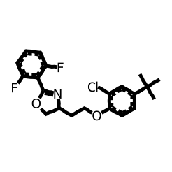 CC(C)(C)c1ccc(OCCC2COC(c3c(F)cccc3F)=N2)c(Cl)c1